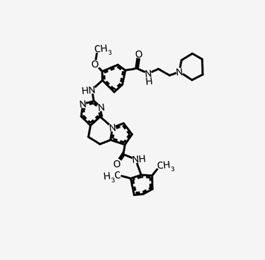 COc1cc(C(=O)NCCN2CCCCC2)ccc1Nc1ncc2c(n1)-n1ccc(C(=O)Nc3c(C)cccc3C)c1CC2